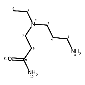 CCN(CCCN)CCC(N)=O